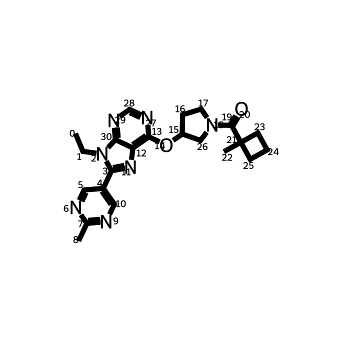 CCn1c(-c2cnc(C)nc2)nc2c(OC3CCN(C(=O)C4(C)CCC4)C3)ncnc21